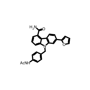 CC(=O)Nc1ccc(Cn2c3cc(-c4ccco4)c[c]c3c3c(C(N)=O)cccc32)cc1